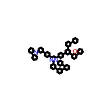 c1ccc(-c2cccc(-c3cc(-c4ccc(-c5cc(-c6ccc(-c7cccc(-n8c9ccccc9c9ccccc98)c7)cc6)nc(-c6cccc(-c7cccc(-c8ccccc8-c8ccccc8)c7)c6)n5)cc4)cc(-c4cccc5c4oc4ccccc45)c3)c2)cc1